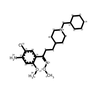 CON=C(CCC1CCN(CC2CCCCC2)CC1)c1cc(Cl)c(N)cc1OC